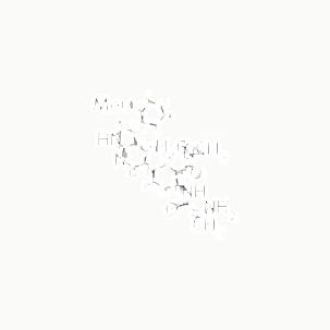 COc1ccccc1-c1c[nH]c2ncc(-c3ccc(NC(=O)[C@@H](C)N)c(C(=O)N(C)C)c3)cc12